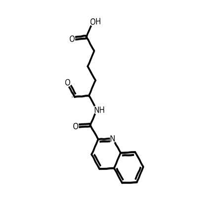 O=[C]C(CCCC(=O)O)NC(=O)c1ccc2ccccc2n1